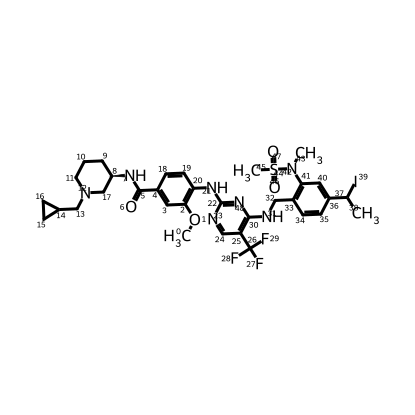 COc1cc(C(=O)N[C@@H]2CCCN(CC3CC3)C2)ccc1Nc1ncc(C(F)(F)F)c(NCc2ccc(C(C)I)cc2N(C)S(C)(=O)=O)n1